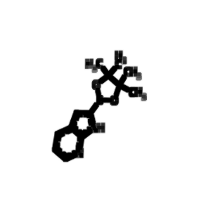 CC1(C)OB(c2cc3cccnc3[nH]2)OC1(C)C